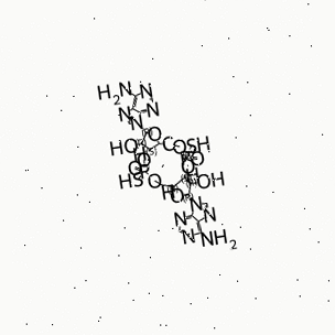 Nc1ncnc2c1ncn2[C@@H]1O[C@@H]2COP(=O)(S)O[C@@H]3C(CO[P@@](=O)(S)O[C@H]2[C@H]1O)O[C@@H](n1cnc2c(N)ncnc21)[C@@H]3O